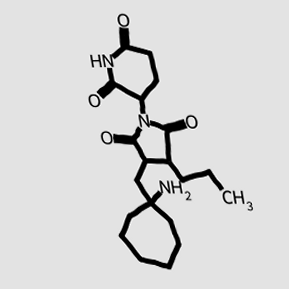 CCCC1C(=O)N(C2CCC(=O)NC2=O)C(=O)C1CC1(N)CCCCCC1